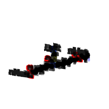 CCCCCC/C=C\COC(=O)CCCCCCCN(CCCCCCCC(=O)OCCCCCCCCC)C(=O)SCCN(CC)CC